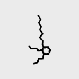 CCCCCCCCCc1[c]ccc(CCCC)c1CCCC